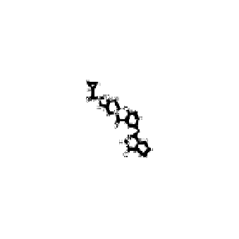 O=C(c1cc(Cc2n[nH]c(=O)c3ccccc23)ccc1F)N1CCc2nn(C(=O)C3CC3)cc2C1